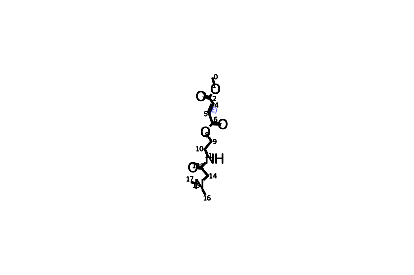 COC(=O)/C=C/C(=O)OCCNC(=O)CN(C)C